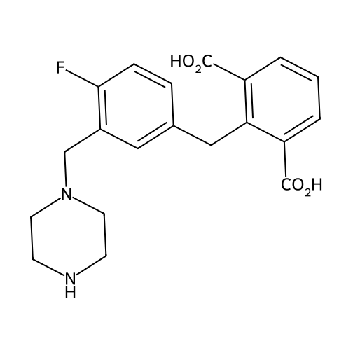 O=C(O)c1cccc(C(=O)O)c1Cc1ccc(F)c(CN2CCNCC2)c1